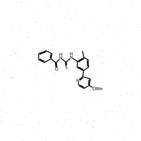 COc1ccnc(-c2ccc(C)c(NC(=S)NC(=O)c3ccccc3)c2)c1